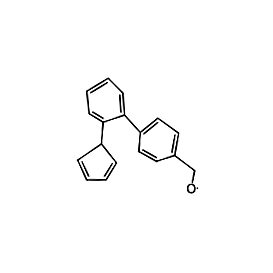 [O]Cc1ccc(-c2ccccc2C2C=CC=C2)cc1